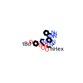 CCCCCCC(C(=O)OC(=O)[C@]1(Oc2ccc(OC(C)(C)C)cc2)CCCN1)n1cnc2cc(-c3ccccc3-c3nnn[nH]3)ccc21